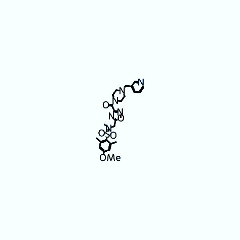 COc1cc(C)c(S(=O)(=O)N(C)Cc2nc(C(=O)N3CCN(Cc4cccnc4)CC3)no2)c(C)c1